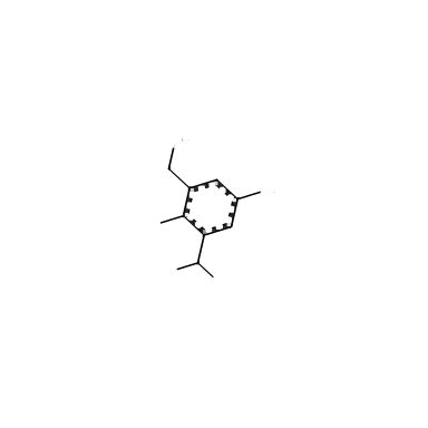 CCc1c(COC)cc(C(C)(C)C)cc1C(C)O